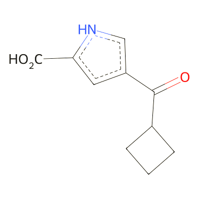 O=C(O)c1cc(C(=O)C2CCC2)c[nH]1